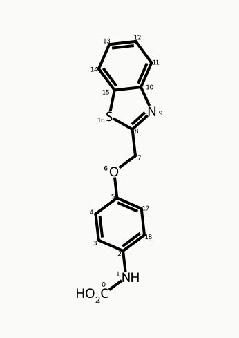 O=C(O)Nc1ccc(OCc2nc3ccccc3s2)cc1